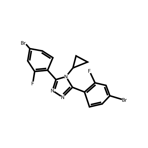 Fc1cc(Br)ccc1-c1nnc(-c2ccc(Br)cc2F)n1C1CC1